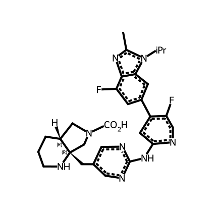 Cc1nc2c(F)cc(-c3cc(Nc4ncc(C[C@]56CN(C(=O)O)C[C@H]5CCCN6)cn4)ncc3F)cc2n1C(C)C